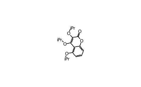 CC(C)Oc1c(OC(C)C)c2c(OC(C)C)cccc2oc1=O